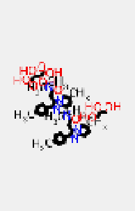 Cc1ccc(-c2nc3ccc(C)cn3c2CC(=O)N(C)C)cc1.Cc1ccc(-c2nc3ccc(C)cn3c2CC(=O)N(C)C)cc1.O=C(O)C(O)C(O)C(=O)O.OCC(O)CO